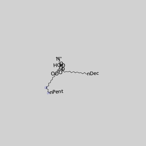 CCCCC/C=C\C/C=C\CCCCCCCC(=O)OC[C@H](COP(=O)(O)OCC[N+](C)(C)C)OC(=O)CCCCCCCCCCCCCCCCCCCCCCC